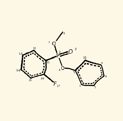 COP(=O)(Oc1ccccc1)c1ccccc1F